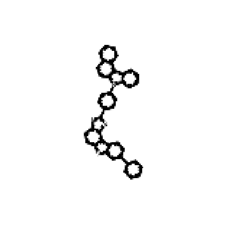 c1ccc(-c2ccc3c(c2)sc2ccc4sc(-c5ccc(-n6c7ccccc7c7c8ccccc8ccc76)cc5)nc4c23)cc1